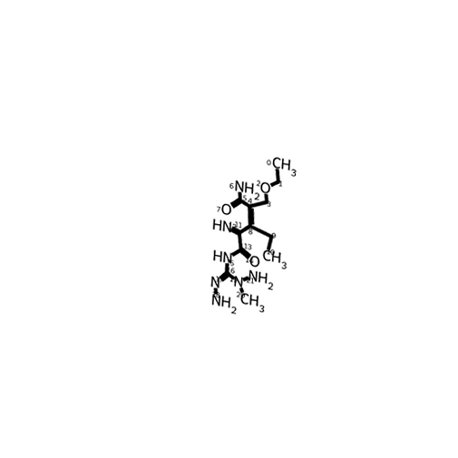 CCOC/C(C(N)=O)=C(\CC)C(=N)C(=O)N/C(=N/N)N(C)N